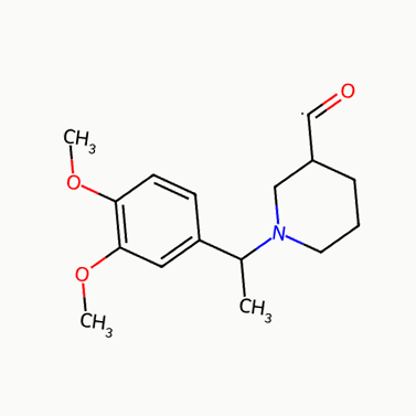 COc1ccc(C(C)N2CCCC([C]=O)C2)cc1OC